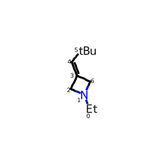 CCN1CC(=CC(C)(C)C)C1